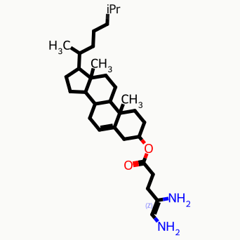 CC(C)CCCC(C)C1CCC2C3CC=C4CC(OC(=O)CC/C(N)=C/N)CCC4(C)C3CCC12C